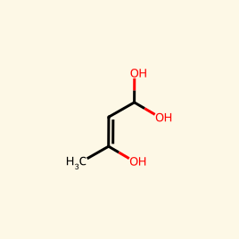 C/C(O)=C/C(O)O